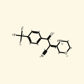 N#CC(C(=O)c1ccc(C(F)(F)F)cc1)=C1COCCN1